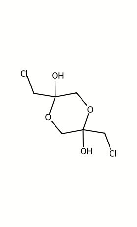 OC1(CCl)COC(O)(CCl)CO1